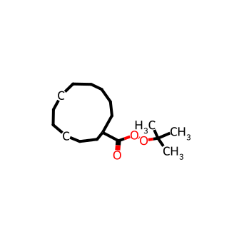 CC(C)(C)OOC(=O)C1CCCCCCCCCCC1